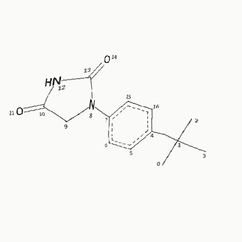 CC(C)(C)c1ccc(N2CC(=O)NC2=O)cc1